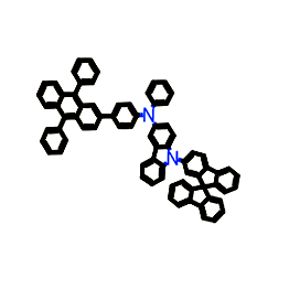 c1ccc(-c2c3ccccc3c(-c3ccccc3)c3cc(-c4ccc(N(c5ccccc5)c5ccc6c(c5)c5ccccc5n6-c5ccc6c(c5)C5(c7ccccc7-c7ccccc75)c5ccccc5-6)cc4)ccc23)cc1